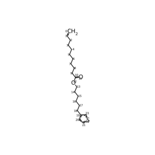 C=CCCCCCCCCC(=O)OCCCCCCc1ccsc1